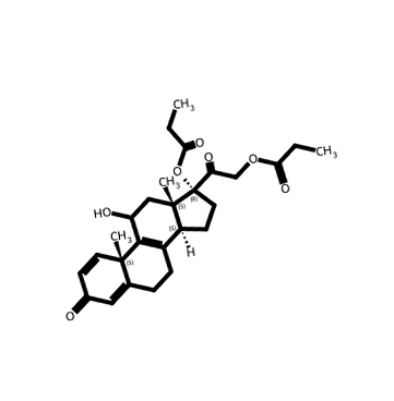 CCC(=O)OCC(=O)[C@@]1(OC(=O)CC)CC[C@H]2C3=C(C(O)C[C@@]21C)[C@@]1(C)C=CC(=O)C=C1CC3